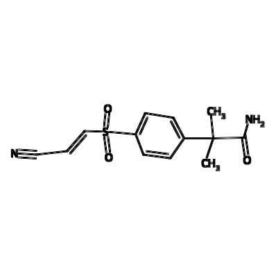 CC(C)(C(N)=O)c1ccc(S(=O)(=O)/C=C/C#N)cc1